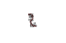 O=C1CCC(Nc2ccc(N3CCC(CN4CCC(NC(=O)C5CCCC(Nc6ncc(F)c(-c7cccc(-n8ccccc8=O)c7)n6)C5)CC4)CC3)c(F)c2)C(=O)N1